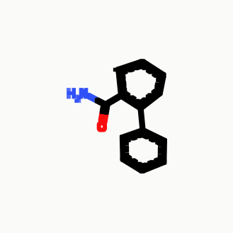 NC(=O)c1[c]cccc1-c1ccccc1